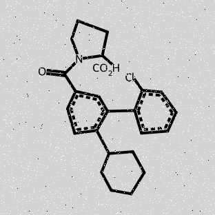 O=C(O)C1CCCN1C(=O)c1ccc(C2CCCCC2)c(-c2ccccc2Cl)c1